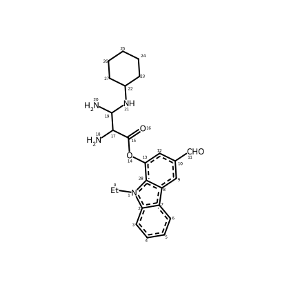 CCn1c2ccccc2c2cc(C=O)cc(OC(=O)C(N)C(N)NC3CCCCC3)c21